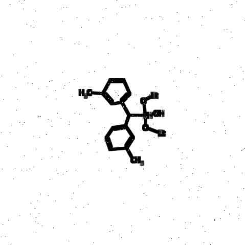 CCO[PH](O)(OCC)C(c1cccc(C)c1)c1cccc(C)c1